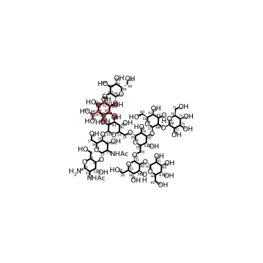 CC(=O)NC1[C@H](O[C@@H]2C(CO)O[C@@H](N)C(NC(C)=O)[C@H]2O)OC(CO)[C@@H](O[C@@H]2OC(CO[C@H]3OC(CO[C@H]4OC(CO)[C@@H](O)[C@H](O)C4O[C@H]4OC(CO)[C@@H](O)[C@H](O)C4O)[C@@H](O)[C@H](O[C@H]4O[C@@H](CO)[C@@H](O)C(O)C4O[C@H]4O[C@@H](CO)[C@@H](O)C(O)C4O)C3O)[C@@H](O)[C@H](O[C@H]3O[C@@H](CO)[C@@H](O)C(O)C3O[C@H]3O[C@@H](CO)[C@@H](O)C(O)C3O[C@H]3O[C@@H](CO)[C@@H](O)C(O)C3O)C2O)[C@@H]1O